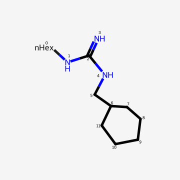 CCCCCCNC(=N)NCC1CCCCC1